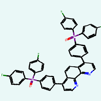 O=P(c1ccc(F)cc1)(c1ccc(F)cc1)c1ccc(-c2ccnc3c2ccc2c(-c4ccc(P(=O)(c5ccc(F)cc5)c5ccc(F)cc5)cc4)ccnc23)cc1